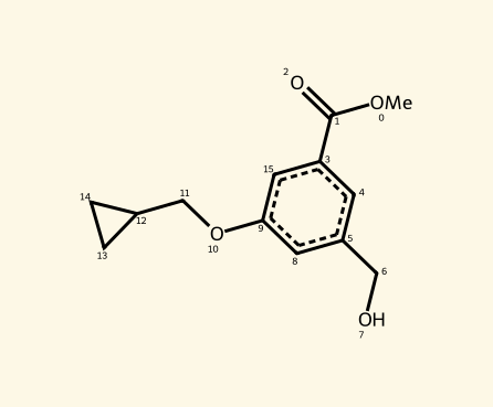 COC(=O)c1cc(CO)cc(OCC2CC2)c1